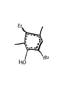 CCc1c(C)cc(C(C)(C)C)c(O)c1C